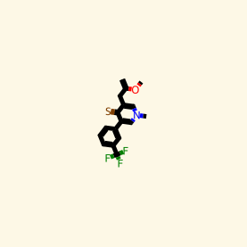 C=C(Cc1cn(C)cc(-c2cccc(C(F)(F)F)c2)c1=S)OC